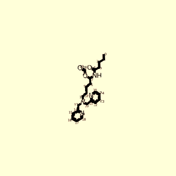 CCCCC(=O)NC(CCCCN(Cc1ccccn1)Cc1ccccn1)OC=O